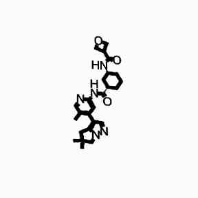 Cc1cnc(NC(=O)[C@H]2CCC[C@@H](NC(=O)C3COC3)C2)cc1-c1cnn2c1CC(C)(C)C2